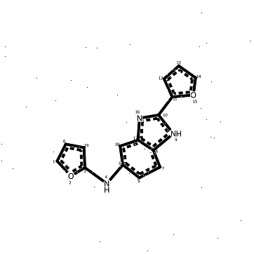 c1coc(Nc2ccc3[nH]c(-c4ccco4)nc3c2)c1